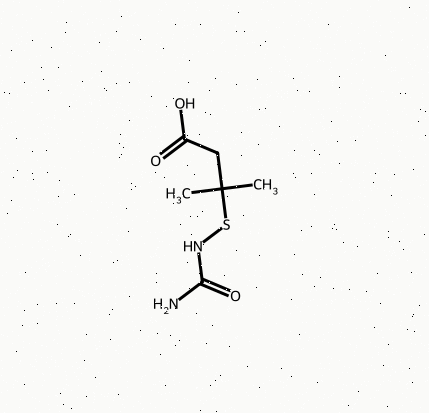 CC(C)(CC(=O)O)SNC(N)=O